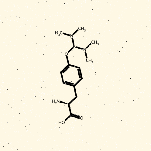 CN(C)P(Oc1ccc(C[C@H](N)C(=O)O)cc1)N(C)C